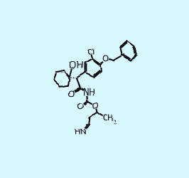 CC(CC=N)OC(=O)NC(=O)[C@@H](c1ccc(OCc2ccccc2)c(Cl)c1)C1(O)CCCCC1